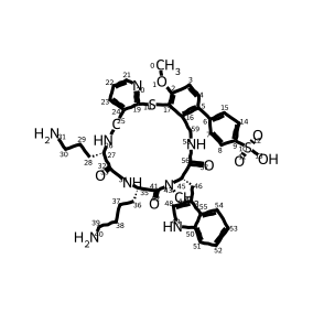 COc1ccc(-c2ccc(S(=O)(=O)O)cc2)c2c1Sc1ncccc1CN[C@@H](CCCN)C(=O)N[C@@H](CCCCN)C(=O)N(C)[C@@H](Cc1c[nH]c3ccccc13)C(=O)NC2